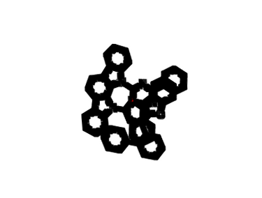 c1ccc(-c2nc(-c3ccccc3)nc(-n3c4ccccc4c4ccc5c6ccccc6n(-c6cc(-c7ccccc7-c7ccccc7)c7oc8ccccc8c7c6)c5c43)n2)cc1